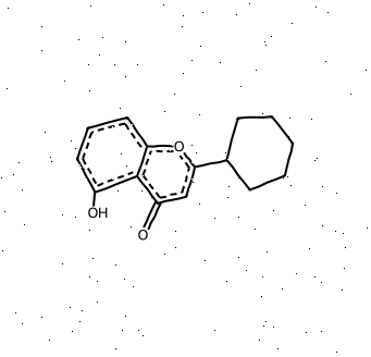 O=c1cc(C2CCCCC2)oc2cccc(O)c12